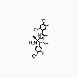 C#CC(N)(c1nc(-c2cc(C)c(OC)cc2Cl)c(C)s1)[C@@H](CCC)c1ccc(COC)c(F)c1